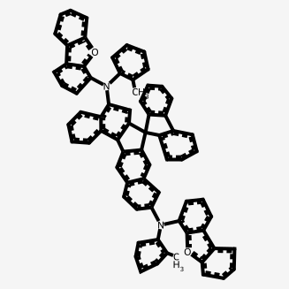 Cc1ccccc1N(c1ccc2cc3c(cc2c1)C1(c2ccccc2-c2ccccc21)c1cc(N(c2ccccc2C)c2cccc4c2oc2ccccc24)c2ccccc2c1-3)c1cccc2c1oc1ccccc12